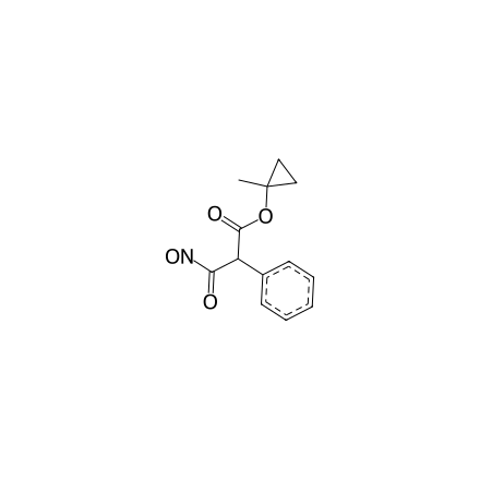 CC1(OC(=O)C(C(=O)N=O)c2ccccc2)CC1